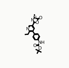 CCc1ncc(-c2nn(C)c(=O)o2)cc1-c1ccc(NC(=O)OC(C)(C)C)cc1